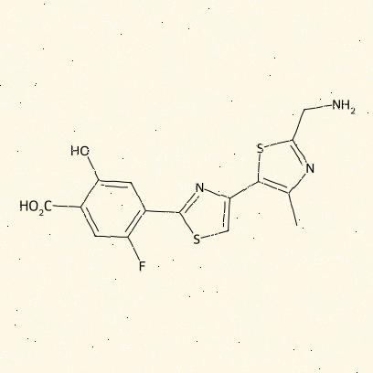 Cc1nc(CN)sc1-c1csc(-c2cc(O)c(C(=O)O)cc2F)n1